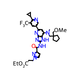 CCOC(=O)CCn1ccc(C(=O)Nc2nc3nc(-c4cnc(C5CC5)c(C(F)(F)F)c4)cc(N(C)CC4(COC)CCCC4)c3[nH]2)n1